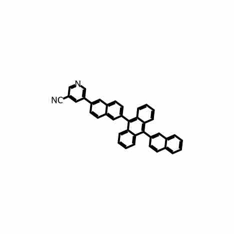 N#Cc1cncc(-c2ccc3cc(-c4c5ccccc5c(-c5ccc6ccccc6c5)c5ccccc45)ccc3c2)c1